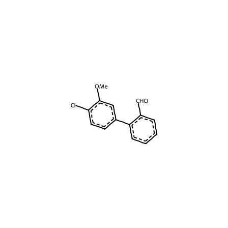 COc1cc(-c2ccccc2C=O)ccc1Cl